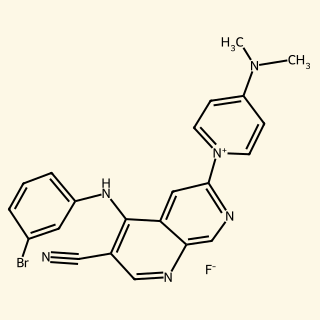 CN(C)c1cc[n+](-c2cc3c(Nc4cccc(Br)c4)c(C#N)cnc3cn2)cc1.[F-]